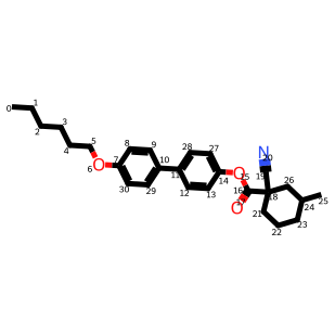 CCCCCCOc1ccc(-c2ccc(OC(=O)C3(C#N)CCCC(C)C3)cc2)cc1